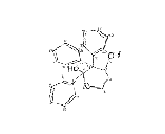 OC1CCOC(O)(c2ccccc2)C1(c1ccccc1)c1ccccc1